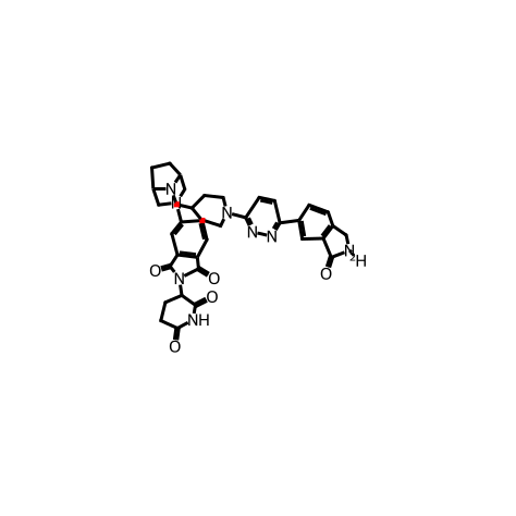 [2H]N1Cc2ccc(-c3ccc(N4CCC(CN5C6CCC5CN(c5ccc7c(c5)C(=O)N(C5CCC(=O)NC5=O)C7=O)C6)CC4)nn3)cc2C1=O